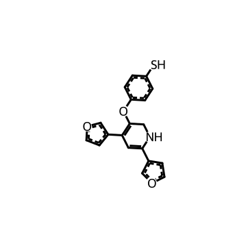 Sc1ccc(OC2=C(c3ccoc3)C=C(c3ccoc3)NC2)cc1